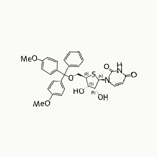 COc1ccc(C(OC[C@H]2S[C@@H](n3ccc(=O)[nH]c3=O)[C@H](O)[C@@H]2O)(c2ccccc2)c2ccc(OC)cc2)cc1